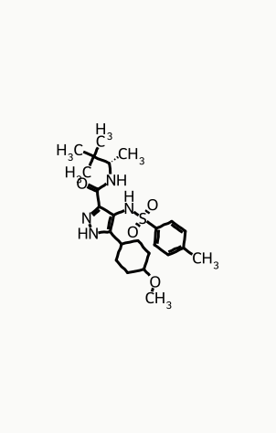 COC1CCC(c2[nH]nc(C(=O)N[C@@H](C)C(C)(C)C)c2NS(=O)(=O)c2ccc(C)cc2)CC1